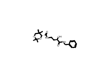 CC1(C)OCC(C)(C)[C@H](C(=O)NCCC(O)C(=O)NCc2ccccc2)O1